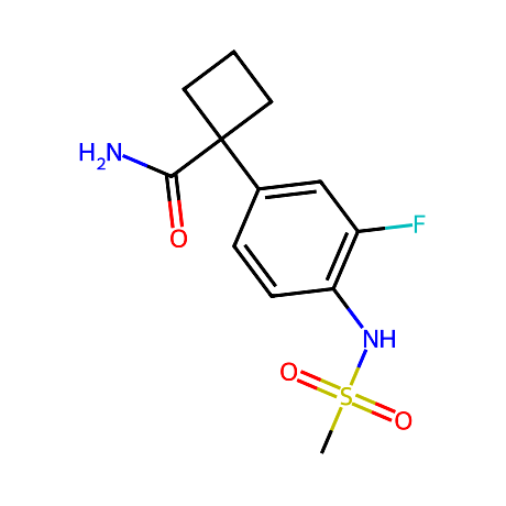 CS(=O)(=O)Nc1ccc(C2(C(N)=O)CCC2)cc1F